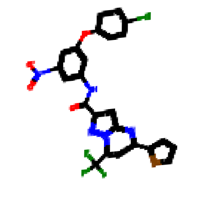 O=C(Nc1cc(Oc2ccc(Cl)cc2)cc([N+](=O)[O-])c1)c1cc2nc(-c3cccs3)cc(C(F)(F)F)n2n1